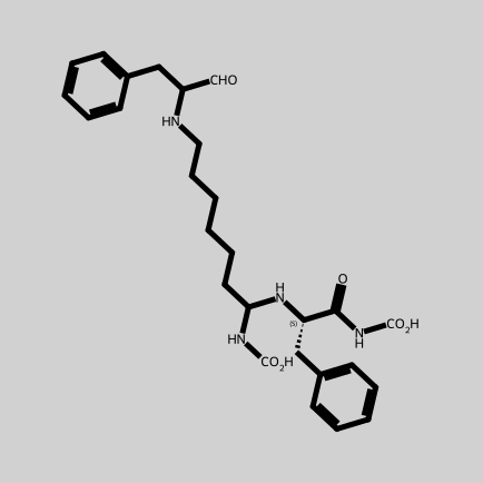 O=CC(Cc1ccccc1)NCCCCCCC(NC(=O)O)N[C@@H](Cc1ccccc1)C(=O)NC(=O)O